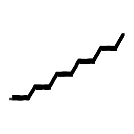 [CH]=C/C=C/C=C/C=C/C=C/C